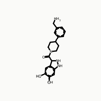 NCc1cccc(C2CCN(C(=O)C3NNc4cc(O)c(O)cc43)CC2)c1